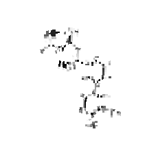 CC(=N)OC(=N)CC(O)c1cccc(-c2ccc(F)c(F)c2)c1